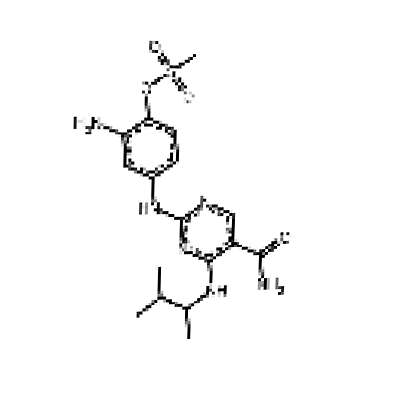 CC(C)C(C)Nc1nc(Nc2ccc(OS(C)(=O)=O)c(N)c2)ncc1C(N)=O